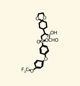 O=CN(O)C(CS(=O)(=O)c1ccc(Oc2ccc(OC(F)(F)F)cc2)cc1)C1CCC2(CC1)OCCO2